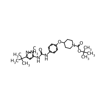 Cn1nc(C(C)(C)C)cc1NC(=O)Nc1ccc(OC2CCN(C(=O)OC(C)(C)C)CC2)cc1